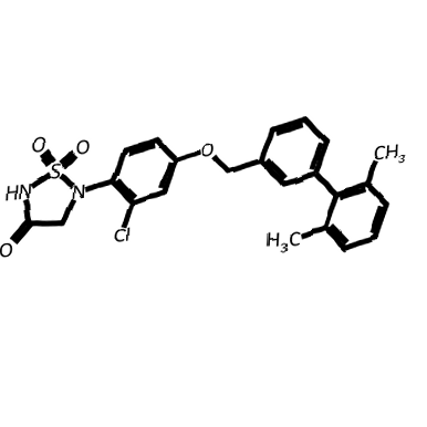 Cc1cccc(C)c1-c1cccc(COc2ccc(N3CC(=O)NS3(=O)=O)c(Cl)c2)c1